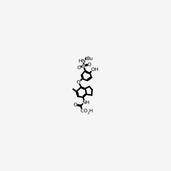 Cc1cc(NC(=O)C(=O)O)c2c(c1Oc1ccc(O)c(S(=O)(=O)NC(C)(C)C)c1)CCC2